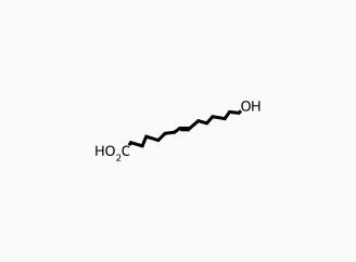 O=C(O)CCCCCC/C=C/CCCCCCO